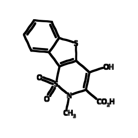 CN1C(C(=O)O)=C(O)c2sc3ccccc3c2S1(=O)=O